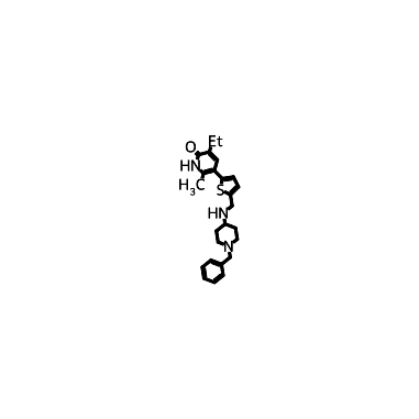 CCc1cc(-c2ccc(CNC3CCN(Cc4ccccc4)CC3)s2)c(C)[nH]c1=O